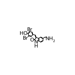 NCc1ccc2c(c1)C(=Cc1cc(Br)c(O)c(Br)c1)C(=O)N2